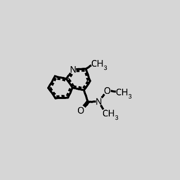 CON(C)C(=O)c1cc(C)nc2ccccc12